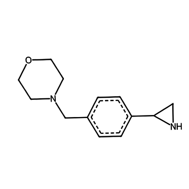 c1cc(C2CN2)ccc1CN1CCOCC1